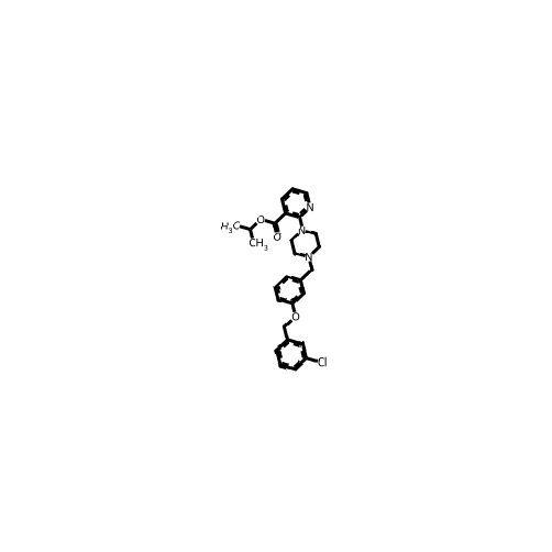 CC(C)OC(=O)c1cccnc1N1CCN(Cc2cccc(OCc3cccc(Cl)c3)c2)CC1